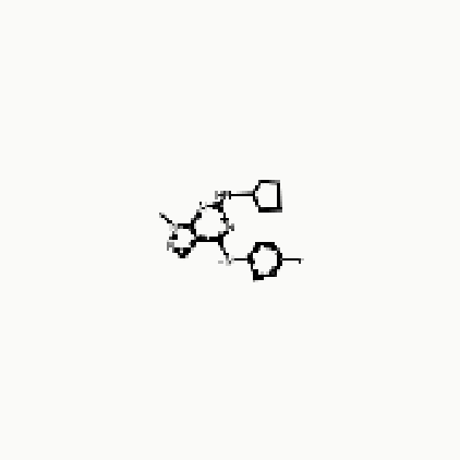 Cn1ncc2c(Nc3ccc(F)cc3)nc(NC3CCCC3)nc21